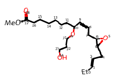 CC/C=C/CC1OC1C/C=C\C(CCCCCCC(=O)OC)OCCCO